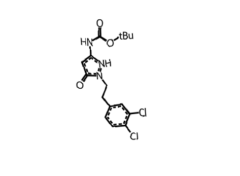 CC(C)(C)OC(=O)Nc1cc(=O)n(CCc2ccc(Cl)c(Cl)c2)[nH]1